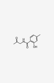 CC(=O)CNC(=O)c1ccc(C)cc1O